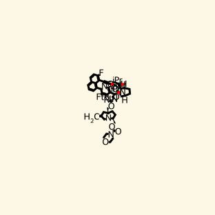 C=C1CN2[C@H](COC(=O)N3CCOCC3)CC[C@@]2(COc2nc3c4c(nc(-c5cccc6ccc(F)c(C#C[Si](C(C)C)(C(C)C)C(C)C)c56)c(F)c4n2)OCC[C@@H]2[C@@H]4CC[C@H](CN32)N4C(=O)OC(C)(C)C)C1